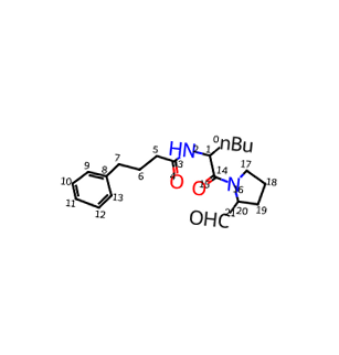 CCCCC(NC(=O)CCCc1ccccc1)C(=O)N1CCCC1C=O